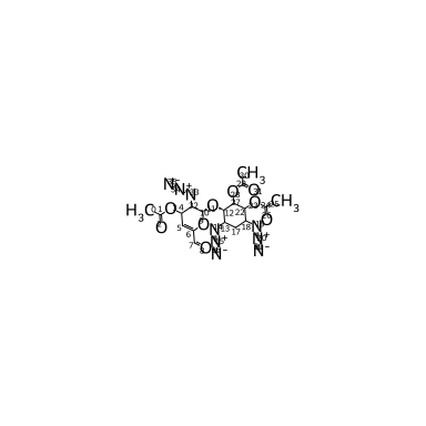 CC(=O)OC1C=C(C=O)O[C@H](O[C@@H]2C(N=[N+]=[N-])CC(N=[N+]=[N-])C(OC(C)=O)C2OC(C)=O)C1N=[N+]=[N-]